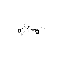 COc1cccc2[nH]c(C(=O)NC(CC(C)C)C(=O)NC(CC3CCNC3=O)C(=O)CO)cc12